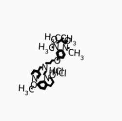 CCN1C(=O)C(C)(C)C(=O)N(C)c2cc(OCCCN(CCN3C(=O)CCc4ccc(OC)cc43)Cc3ccncc3)ccc21.Cl.Cl